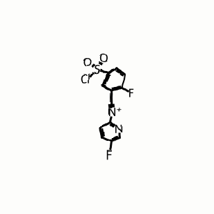 O=S(=O)(Cl)c1ccc(F)c(C#[N+]c2ccc(F)cn2)c1